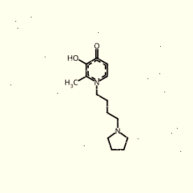 Cc1c(O)c(=O)ccn1CCCCN1CCCC1